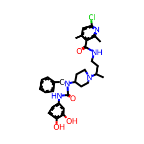 Cc1cc(Cl)nc(C)c1C(=O)NCCC(C)N1CCC(N(Cc2ccccc2)C(=O)Nc2ccc(O)c(O)c2)CC1